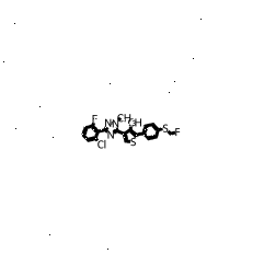 Cc1c(-c2nc(-c3c(F)cccc3Cl)nn2C)csc1-c1ccc(SCF)cc1